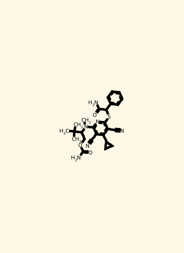 CN(c1nc(SC(C(N)=O)c2ccccc2)c(C#N)c(C2CC2)c1C#N)C(COC(N)=O)C(C)(C)C